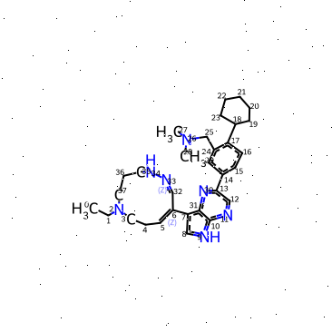 CCN1CC/C=C(c2c[nH]c3ncc(-c4ccc(C5CCCCC5)c(CN(C)C)c4)nc23)\C=N/NCCC1